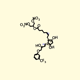 O=C(CCC/C=C\C[C@@H]1[C@@H](/C=C/[C@@H](O)COc2cccc(C(F)(F)F)c2)[C@H](O)C[C@@H]1O)OC(CO[N+](=O)[O-])CO[N+](=O)[O-]